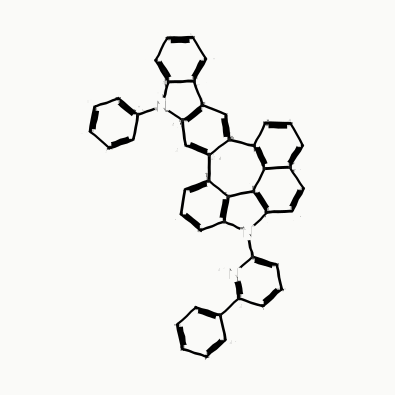 c1ccc(-c2cccc(-n3c4cccc5c4c4c6c(cccc6ccc43)-c3cc4c6ccccc6n(-c6ccccc6)c4cc3-5)n2)cc1